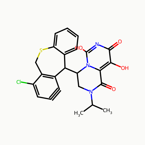 CC(C)N1CC(C2c3c#ccc(Cl)c3CSc3ccccc32)n2c(O)nc(=O)c(O)c2C1=O